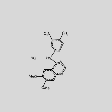 COc1cc2ncnc(Nc3ccc(C)c([N+](=O)[O-])c3)c2cc1OC.Cl